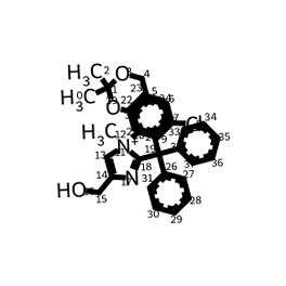 CC1(C)OCc2cc(Cl)cc([N+]3(C)C=C(CO)N=C3C(c3ccccc3)(c3ccccc3)c3ccccc3)c2O1